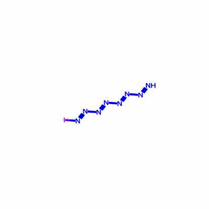 N=NN=NN=NN=NI